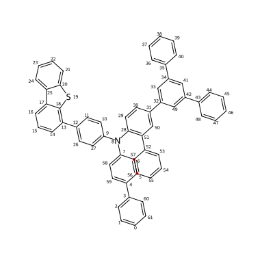 c1ccc(-c2ccc(N(c3ccc(-c4cccc5c4sc4ccccc45)cc3)c3ccc(-c4cc(-c5ccccc5)cc(-c5ccccc5)c4)cc3-c3ccccc3)cc2)cc1